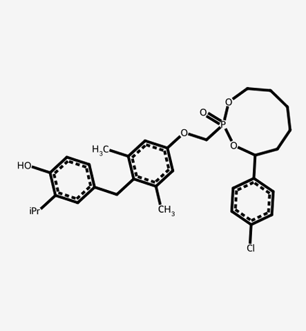 Cc1cc(OCP2(=O)OCCCCCC(c3ccc(Cl)cc3)O2)cc(C)c1Cc1ccc(O)c(C(C)C)c1